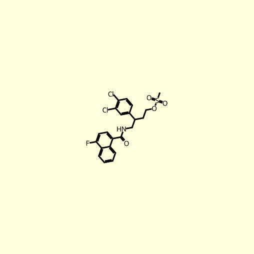 CS(=O)(=O)OCCC(CNC(=O)c1ccc(F)c2ccccc12)c1ccc(Cl)c(Cl)c1